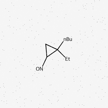 CCCCC1(CC)CC1N=O